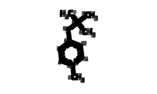 C[n+]1ccc(SC(C)(C)C)cc1